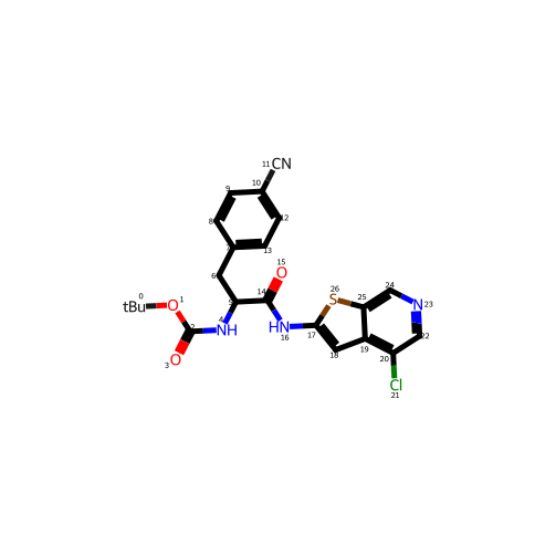 CC(C)(C)OC(=O)NC(Cc1ccc(C#N)cc1)C(=O)Nc1cc2c(Cl)cncc2s1